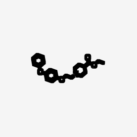 CCOC(=O)C1CCN(CCOc2ccc(Oc3ccccc3)cc2)CC1